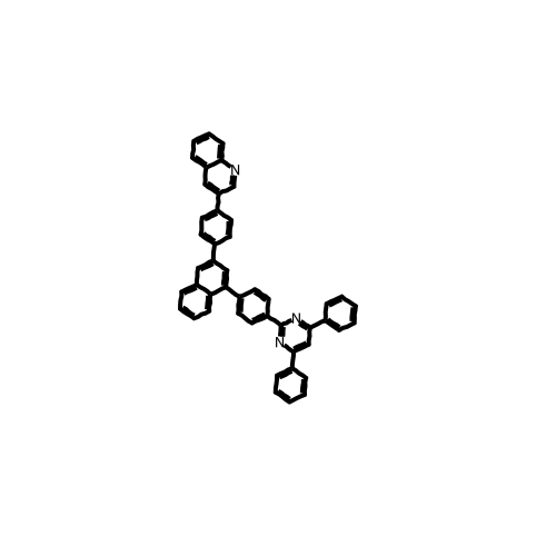 c1ccc(-c2cc(-c3ccccc3)nc(-c3ccc(-c4cc(-c5ccc(-c6cnc7ccccc7c6)cc5)cc5ccccc45)cc3)n2)cc1